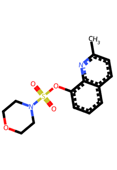 Cc1ccc2cccc(OS(=O)(=O)N3CCOCC3)c2n1